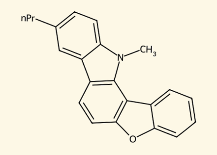 CCCc1ccc2c(c1)c1ccc3oc4ccccc4c3c1n2C